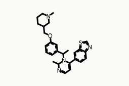 CC1N=CC=C(c2ccc3ncsc3c2)N1C(C)c1cccc(OCC2CCCN(C)C2)c1